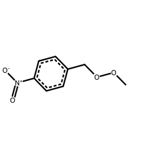 COOCc1ccc([N+](=O)[O-])cc1